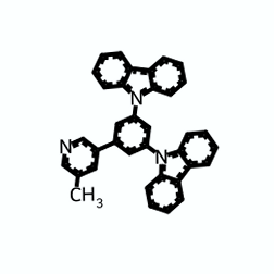 Cc1cncc(-c2cc(-n3c4ccccc4c4ccccc43)cc(-n3c4ccccc4c4ccccc43)c2)c1